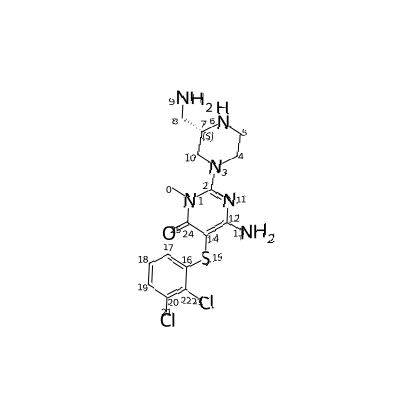 Cn1c(N2CCN[C@@H](CN)C2)nc(N)c(Sc2cccc(Cl)c2Cl)c1=O